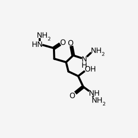 NNC(=O)CC(CC(O)C(=O)NN)C(=O)NN